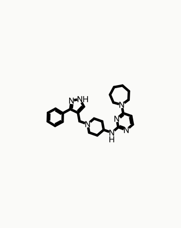 c1ccc(-c2n[nH]cc2CN2CCC(Nc3nccc(N4CCCCCC4)n3)CC2)cc1